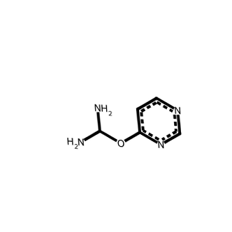 NC(N)Oc1ccncn1